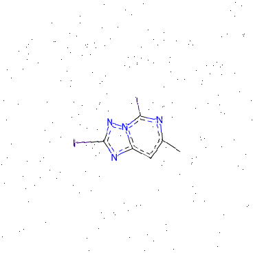 Cc1cc2nc(I)nn2c(I)n1